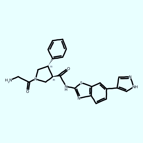 NCC(=O)N1C[C@H](C(=O)Nc2nc3ccc(-c4cn[nH]c4)cc3s2)[C@@H](c2ccccc2)C1